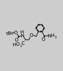 CC(C)(C)OC(=O)N[C@H](COCc1ccccc1C(N)=O)C(=O)O